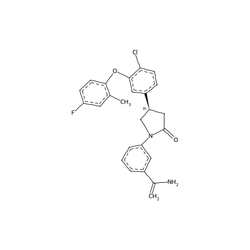 C=C(N)c1cccc(N2C[C@@H](c3ccc(Cl)c(Oc4ccc(F)cc4C)c3)CC2=O)c1